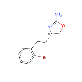 NC1=N[C@@H](CCc2ccccc2Br)CO1